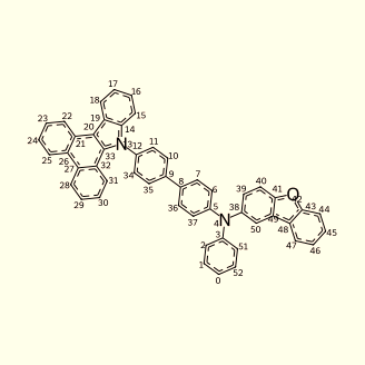 c1ccc(N(c2ccc(-c3ccc(-n4c5ccccc5c5c6ccccc6c6ccccc6c54)cc3)cc2)c2ccc3oc4ccccc4c3c2)cc1